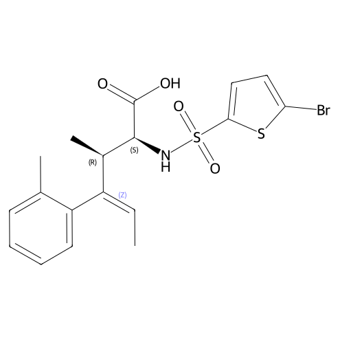 C/C=C(\c1ccccc1C)[C@@H](C)[C@H](NS(=O)(=O)c1ccc(Br)s1)C(=O)O